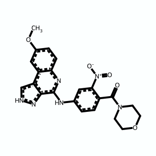 COc1ccc2nc(Nc3ccc(C(=O)N4CCOCC4)c([N+](=O)[O-])c3)c3n[nH]cc3c2c1